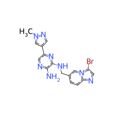 Cn1cc(-c2cnc(N)c(NCc3ccc4ncc(Br)n4c3)n2)cn1